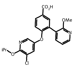 COc1ncccc1-c1cc(C(=O)O)ccc1Oc1cnc(OC(C)C)c(Cl)c1